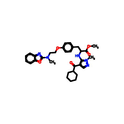 COC(=O)C(Cc1ccc(OCCN(C)c2nc3ccccc3o2)cc1)Nc1c(C(=O)C2CCCCC2)cnn1C